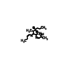 C=C(O)/C=N\C(=C)/C(=N/C=C\CC)C(C)S(=O)(=O)CCC